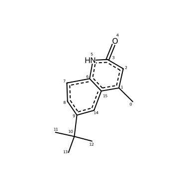 Cc1cc(=O)[nH]c2ccc(C(C)(C)C)cc12